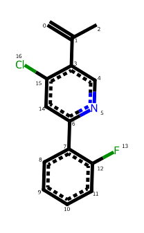 C=C(C)c1cnc(-c2ccccc2F)cc1Cl